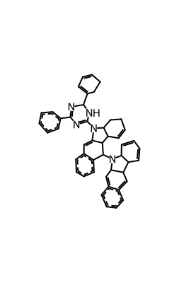 C1=CCCC(C2N=C(c3ccccc3)N=C(N3C4=Cc5ccccc5C(N5C6C=CC=CC6C6C=c7ccccc7=CC65)C4C4C=CCCC43)N2)=C1